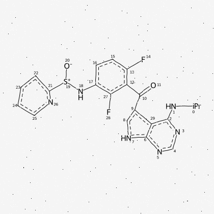 CC(C)Nc1ncnc2[nH]cc(C(=O)c3c(F)ccc(N[S+]([O-])c4ccccn4)c3F)c12